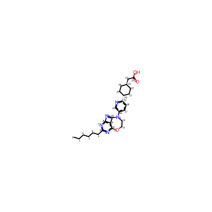 CCCCCCc1nc2c3c(n1)OCCN(c1ccc([C@H]4CC[C@H](CC(=O)O)CC4)nc1)C3=N2